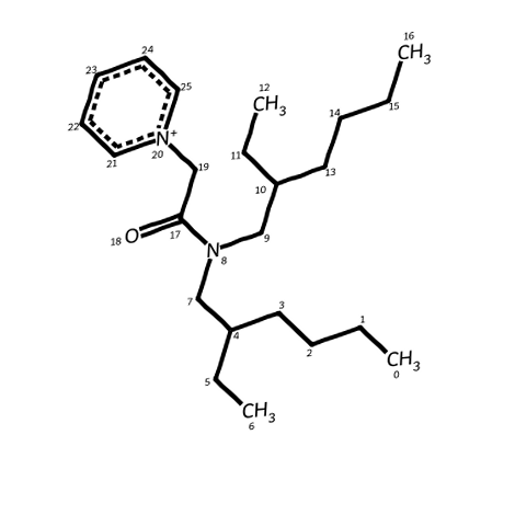 CCCCC(CC)CN(CC(CC)CCCC)C(=O)C[n+]1ccccc1